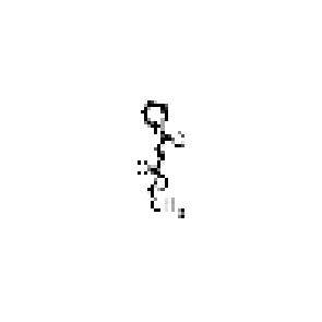 CCOC(=O)/C=C/C(=O)N1CCCCC1